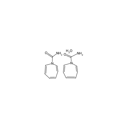 NC(=O)N1C=CC=CC=C1.NC(=O)N1C=CC=CC=C1.O